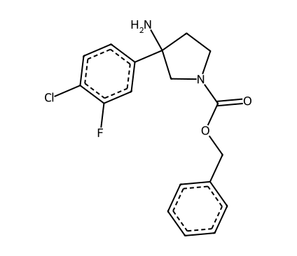 NC1(c2ccc(Cl)c(F)c2)CCN(C(=O)OCc2ccccc2)C1